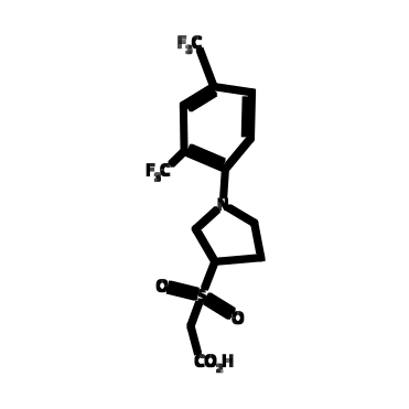 O=C(O)CS(=O)(=O)C1CCN(c2ccc(C(F)(F)F)cc2C(F)(F)F)C1